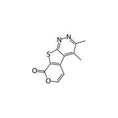 Cc1nnc2sc3c(=O)occc3c2c1C